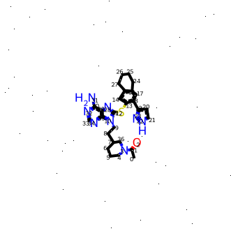 CC(=O)N1CCCC(CCn2c(Sc3cc4c(cc3-c3cc[nH]n3)CCCC4)nc3c(N)ncnc32)C1